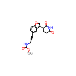 CC(C)(C)OC(=O)NCC#Cc1ccc2occ(C3CCC(=O)NC3=O)c2c1